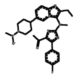 CCc1nc2ccc(C3CCN([S+](C)[O-])CC3)cn2c1N(C)c1nc(-c2ccc(F)cc2)c(C(C)=O)s1